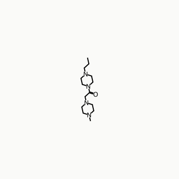 CCCN1CCN(C(=O)CN2CCN(C)CC2)CC1